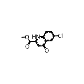 COC(=O)c1cc(=O)c2cc(Cl)ccc2[nH]1